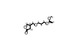 C=C(OC)OCCCOCC1COC(=O)C1